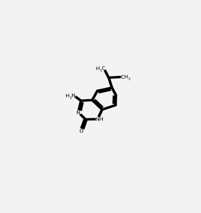 CC(C)c1ccc2[nH]c(=O)nc(N)c2c1